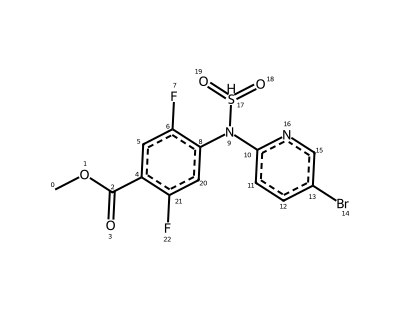 COC(=O)c1cc(F)c(N(c2ccc(Br)cn2)[SH](=O)=O)cc1F